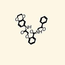 O=C(COc1ccccc1C(=O)NCC(=O)c1ccccc1)Nc1ccc2c(c1)OCCO2